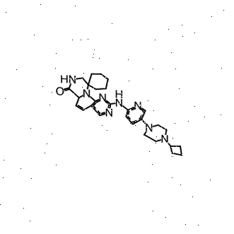 O=C1NCC2(CCCCC2)N2c3nc(Nc4ccc(N5CCN(C6CCC6)CC5)cn4)ncc3C=CC12